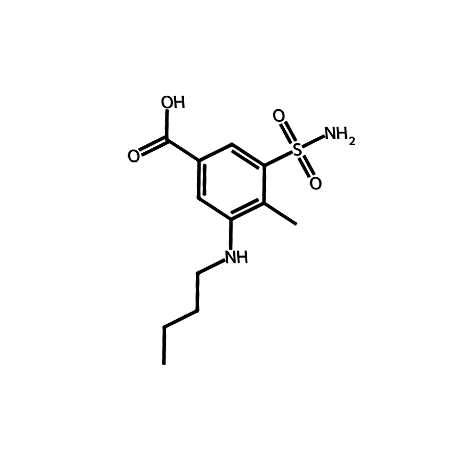 CCCCNc1cc(C(=O)O)cc(S(N)(=O)=O)c1C